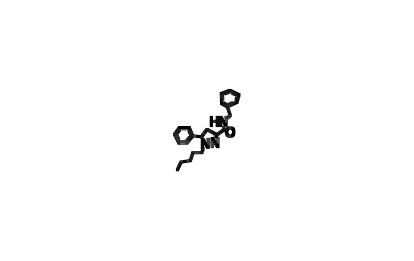 CCCCCN1N=C(C(=O)NCc2ccccc2)CC1c1ccccc1